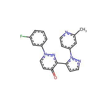 Cc1cc(-n2nccc2-c2nn(-c3cccc(F)c3)ccc2=O)ccn1